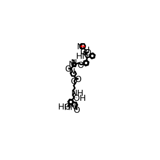 Cn1nc(C(=O)N2CCC(C(=O)OCCCCNC[C@H](O)c3ccc(O)c4[nH]c(=O)ccc34)CC2)cc1COc1cccc([C@@H](NC(=O)O[C@H]2CN3CCC2CC3)c2ccccc2)c1